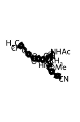 COC(=O)C(Cc1ccc(-c2ccc(C#N)cc2)cc1)NC(=O)[C@@H]1Cc2cc3c(cc2CN1S(=O)(=O)c1sc(NC(C)=O)nc1C)O[C@@H](c1ccc(OCc2ccc(C)c(Cl)c2)cc1)CO3